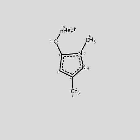 CCCCCCCOc1cc(C(F)(F)F)nn1C